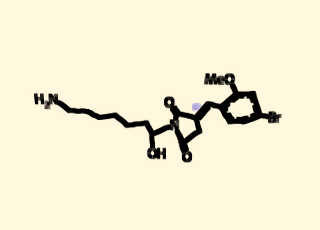 COc1cc(Br)ccc1/C=C1\CC(=O)N(C(O)CCCCCCN)C1=O